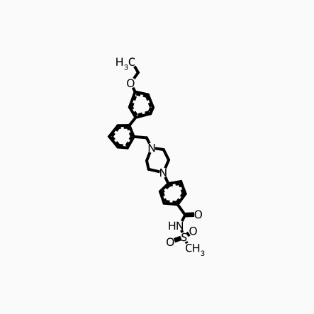 CCOc1cccc(-c2ccccc2CN2CCN(c3ccc(C(=O)NS(C)(=O)=O)cc3)CC2)c1